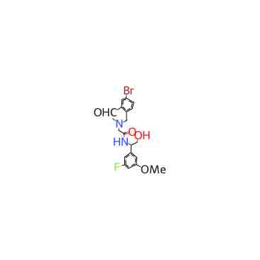 COc1cc(F)cc(C(CO)NC(=O)CN(C)Cc2ccc(Br)cc2C=O)c1